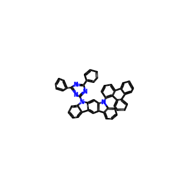 c1ccc(-c2nc(-c3ccccc3)nc(-n3c4ccccc4c4cc5c6ccccc6n(-c6cccc7c8ccccc8c8ccccc8c67)c5cc43)n2)cc1